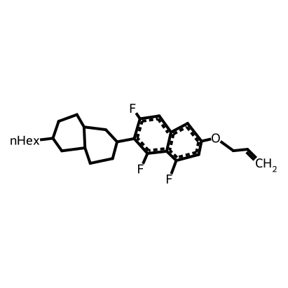 C=CCOc1cc(F)c2c(F)c(C3CCC4CC(CCCCCC)CCC4C3)c(F)cc2c1